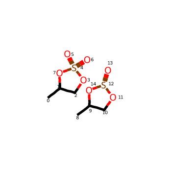 CC1COS(=O)(=O)O1.CC1COS(=O)O1